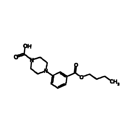 CCCCOC(=O)c1cccc(N2CCN(C(=O)O)CC2)c1